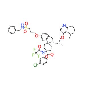 COC(=O)C1(N(C(=O)C(F)(F)F)c2cccc(Cl)c2)CCC2(CC1)c1cc(OCCCS(=O)(=O)NCc3ccccc3)ccc1C[C@@H]2C[C@@H](C)COc1ccnc2c1[C@H](C)CCC2